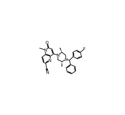 C[C@H]1CN(C(c2ccccc2)c2ccc(F)cc2)[C@@H](C)CN1c1cc(=O)n(C)c2ccc(C#N)nc12